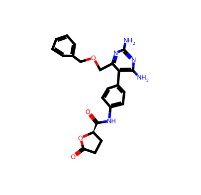 Nc1nc(N)c(-c2ccc(NC(=O)[C@H]3CCC(=O)O3)cc2)c(COCc2ccccc2)n1